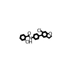 O=C(Nc1ccc(-c2cc3c(cc2Cl)OCC3)cc1)c1ccccc1Cl